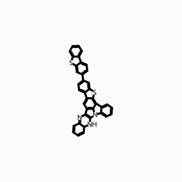 C1=CC2=Nc3c(n4c5ccccc5c5c6sc7cc(-c8ccc9c(c8)sc8ccccc89)ccc7c6cc3c54)NC2C=C1